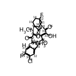 CN(C)C(=O)C(=O)N(C)C12CCC(F)(CC1)Cn1c2nc(C(=O)NCc2ccc(F)c(Cl)c2)c(O)c1=O